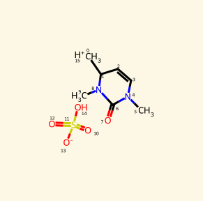 CC1C=CN(C)C(=O)N1C.O=S(=O)([O-])O.[H+]